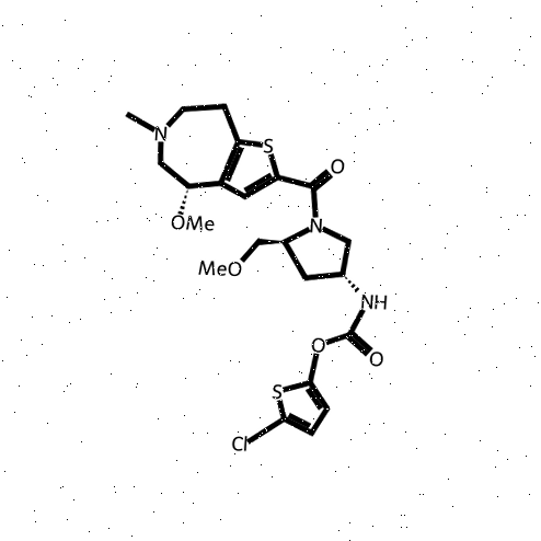 COC[C@@H]1C[C@@H](NC(=O)Oc2ccc(Cl)s2)CN1C(=O)c1cc2c(s1)CCN(C)C[C@H]2OC